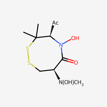 CC(=O)[C@H]1N(O)C(=O)[C@@H](N(C)O)CSSC1(C)C